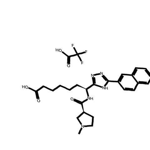 CN1CC[C@H](C(=O)N[C@@H](CCCCCC(=O)O)c2nnc(-c3ccc4ccccc4c3)[nH]2)C1.O=C(O)C(F)(F)F